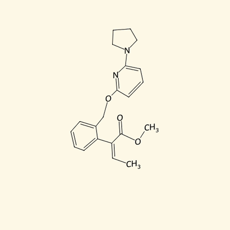 CC=C(C(=O)OC)c1ccccc1COc1cccc(N2CCCC2)n1